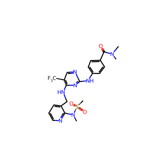 CN(C)C(=O)c1ccc(Nc2ncc(C(F)(F)F)c(NCc3cccnc3N(C)S(C)(=O)=O)n2)cc1